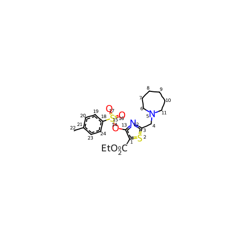 CCOC(=O)c1sc(CN2CCCCCC2)nc1OS(=O)(=O)c1ccc(C)cc1